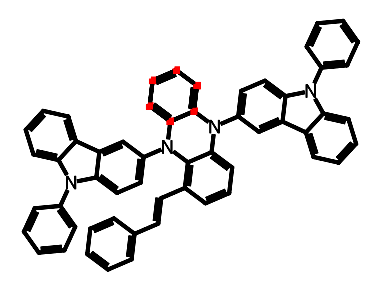 C(=Cc1cccc(N(c2ccccc2)c2ccc3c(c2)c2ccccc2n3-c2ccccc2)c1N(c1ccccc1)c1ccc2c(c1)c1ccccc1n2-c1ccccc1)c1ccccc1